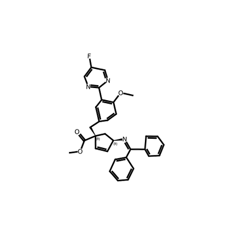 COC(=O)[C@@]1(Cc2ccc(OC)c(-c3ncc(F)cn3)c2)C=C[C@H](N=C(c2ccccc2)c2ccccc2)C1